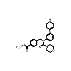 COC(=O)c1ccc(CN(C(=O)N2CCOCC2)c2cccc(C3=CCNCC3)c2)cc1